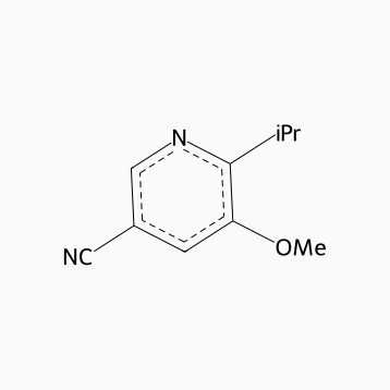 COc1cc(C#N)cnc1C(C)C